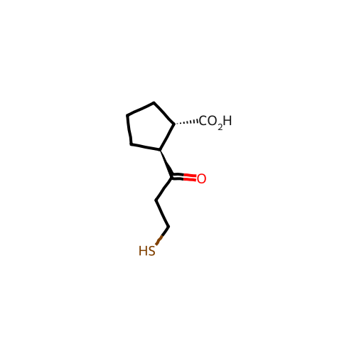 O=C(O)[C@H]1CCC[C@@H]1C(=O)CCS